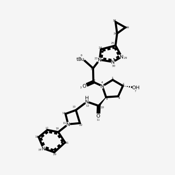 CC(C)(C)C(C(=O)N1C[C@H](O)C[C@H]1C(=O)NC1CN(c2ccncc2)C1)n1cc(C2CC2)nn1